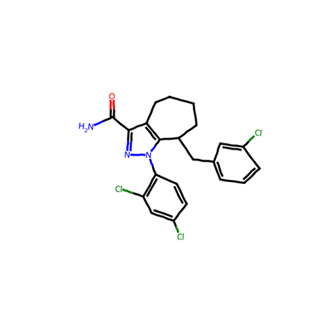 NC(=O)c1nn(-c2ccc(Cl)cc2Cl)c2c1CCCCC2Cc1cccc(Cl)c1